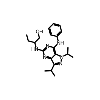 CCC(CO)Nc1nc(Nc2ccccc2)c2c(n1)c(C(C)C)nn2C(C)C